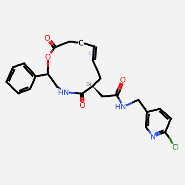 O=C(C[C@@H]1C/C=C/CCC(=O)OC(c2ccccc2)CNC1=O)NCc1ccc(Cl)nc1